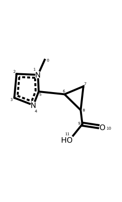 Cn1ccnc1C1CC1C(=O)O